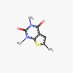 Cc1cc2c(=O)n(C)c(=O)n(C)c2s1